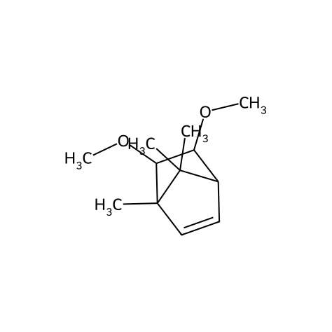 COC1C2C=CC(C)(C1OC)C2(C)C